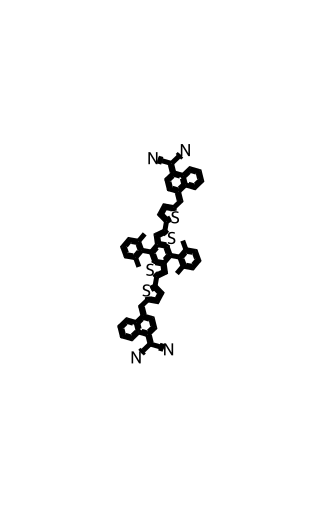 Cc1cccc(C)c1-c1c2cc(-c3ccc(/C=c4\ccc(=C(C#N)C#N)c5ccccc45)s3)sc2c(-c2c(C)cccc2C)c2cc(-c3ccc(/C=c4\ccc(=C(C#N)C#N)c5ccccc45)s3)sc12